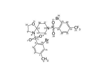 Cc1ccc(S(=O)(=O)N2CCOC23CCN(S(=O)(=O)c2ccc(C(F)(F)F)cc2Br)CC3)c(Br)c1